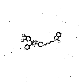 O=C1c2ccccc2CN1CCCCCN1CCC(c2nc(-c3ccncc3)c(-c3ccc(Cl)c(Cl)c3)[nH]2)CC1